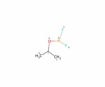 CC(C)OP(F)F